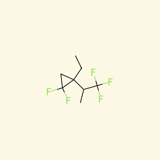 CCC1(C(C)C(F)(F)F)CC1(F)F